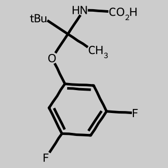 CC(C)(C)C(C)(NC(=O)O)Oc1cc(F)cc(F)c1